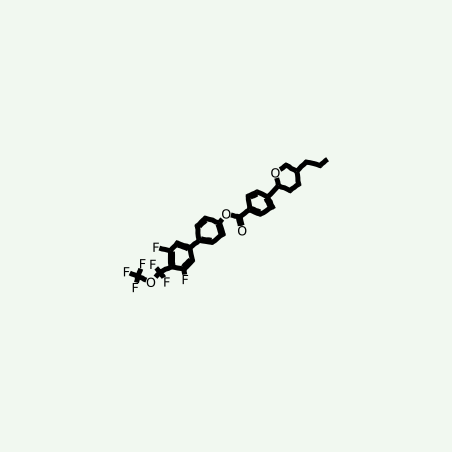 CCCC1CCC(c2ccc(C(=O)Oc3ccc(-c4cc(F)c(C(F)(F)OC(F)(F)F)c(F)c4)cc3)cc2)OC1